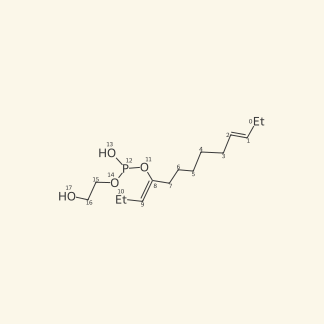 CCC=CCCCCCC(=CCC)OP(O)OCCO